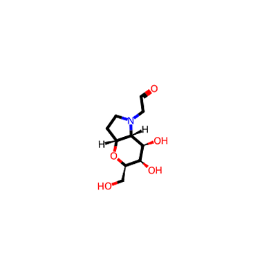 O=CCN1CC[C@H]2O[C@H](CO)[C@H](O)[C@H](O)[C@H]21